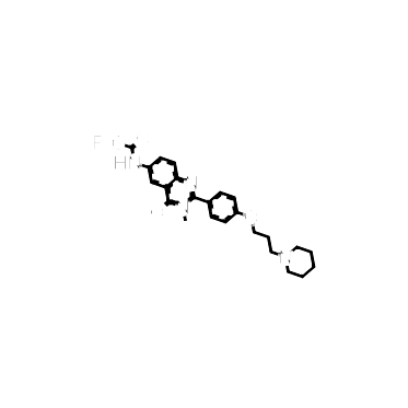 Cn1c(-c2ccc(OCCCN3CCCCC3)cc2)nc2ccc(NC(=O)C(F)(F)F)cc2c1=O